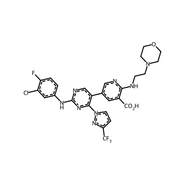 O=C(O)c1cc(-c2cnc(Nc3ccc(F)c(Cl)c3)nc2-n2ccc(C(F)(F)F)n2)cnc1NCCN1CCOCC1